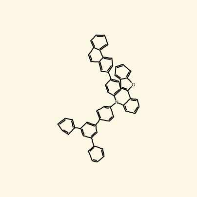 c1ccc(-c2cc(-c3ccccc3)cc(-c3ccc(N(c4ccc(-c5ccc6c(ccc7ccccc76)c5)cc4)c4ccccc4-c4cc5ccccc5o4)cc3)c2)cc1